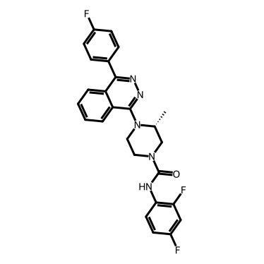 C[C@@H]1CN(C(=O)Nc2ccc(F)cc2F)CCN1c1nnc(-c2ccc(F)cc2)c2ccccc12